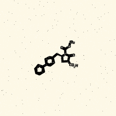 CC(C)(C)OC(=O)N1C(=O)C(C(=O)O)C[C@H]1Cc1ccc(-c2ccccc2)cc1